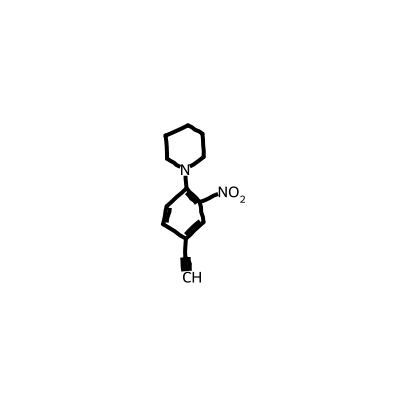 C#Cc1ccc(N2CCCCC2)c([N+](=O)[O-])c1